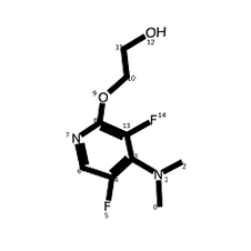 CN(C)c1c(F)cnc(OCCO)c1F